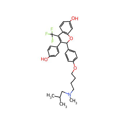 CC(C)CN(C)CCCCOc1ccc(C2Oc3cc(O)ccc3C(C(F)(F)F)=C2c2ccc(O)cc2)cc1